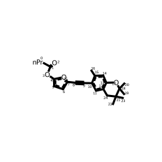 CCCC(=O)Oc1ccc(C#Cc2cc3c(cc2C)OC(C)(C)C(C)(C)C3)o1